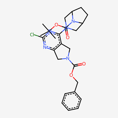 CC(C)(C)OC(=O)N1C2CCC1CN(c1nc(Cl)nc3c1CN(C(=O)OCc1ccccc1)C3)C2